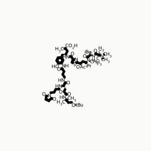 CC[C@H](C)[C@@H](NC(=O)C(C)(C)N(C)C)C(=O)N(C)C(C[C@@H](OC(C)=O)c1nc(C(=O)N[C@@H](Cc2ccc(O)c(NC(=O)CCCNC(=O)[C@H](CCC(=O)NC(C)(C)CCOC(C)(C)C)NC(=O)CCCN3C(=O)C=CC3=O)c2)C[C@H](C)C(=O)O)cs1)C(C)C